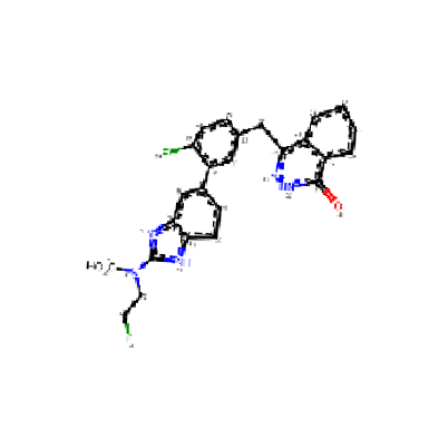 O=C(O)N(CCF)c1nc2cc(-c3cc(Cc4n[nH]c(=O)c5ccccc45)ccc3F)ccc2[nH]1